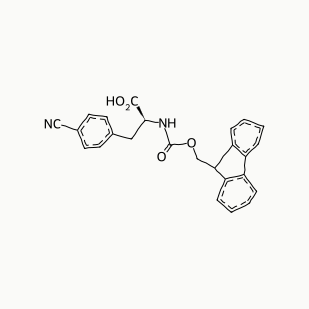 N#Cc1ccc(C[C@H](NC(=O)OCC2c3ccccc3-c3ccccc32)C(=O)O)cc1